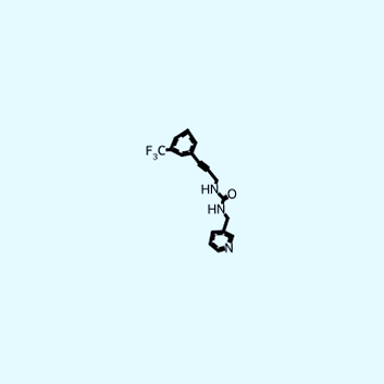 O=C(NCC#Cc1cccc(C(F)(F)F)c1)NCc1cccnc1